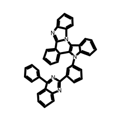 c1ccc(-c2nc(-c3cccc(-n4c5ccccc5c5c4c4ccccc4c4nc6ccccc6n45)c3)nc3ccccc23)cc1